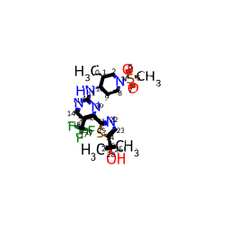 C[C@@H]1CN(S(C)(=O)=O)CC[C@@H]1Nc1ncc(C(F)(F)F)c(-c2ncc(C(C)(C)O)s2)n1